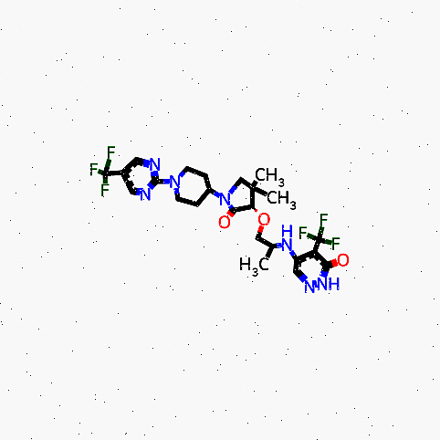 CC(CO[C@@H]1C(=O)N(C2CCN(c3ncc(C(F)(F)F)cn3)CC2)CC1(C)C)Nc1cn[nH]c(=O)c1C(F)(F)F